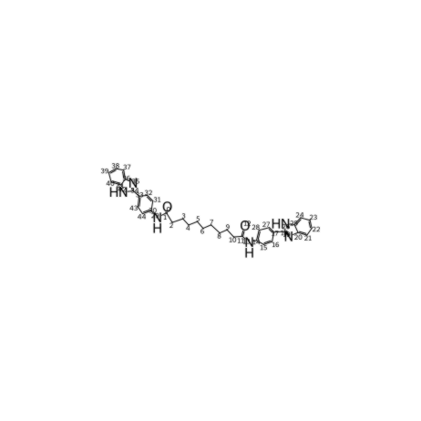 O=C(CCCCCCCCCC(=O)Nc1ccc(-c2nc3ccccc3[nH]2)cc1)Nc1ccc(-c2nc3ccccc3[nH]2)cc1